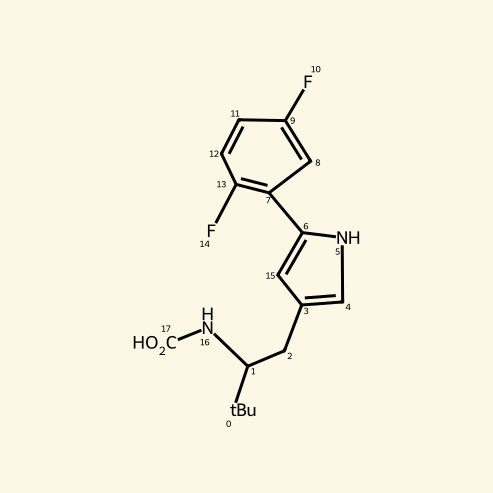 CC(C)(C)C(Cc1c[nH]c(-c2cc(F)ccc2F)c1)NC(=O)O